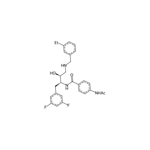 CCc1cccc(CNC[C@H](O)[C@H](Cc2cc(F)cc(F)c2)NC(=O)c2ccc(NC(C)=O)cc2)c1